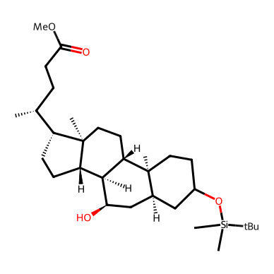 COC(=O)CC[C@@H](C)[C@H]1CC[C@H]2[C@@H]3[C@H](O)C[C@@H]4CC(O[Si](C)(C)C(C)(C)C)CC[C@]4(C)[C@H]3CC[C@]12C